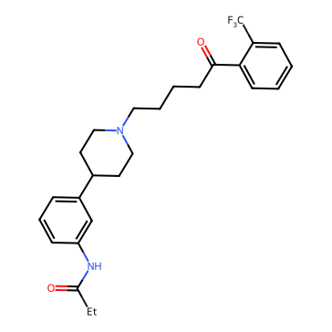 CCC(=O)Nc1cccc(C2CCN(CCCCC(=O)c3ccccc3C(F)(F)F)CC2)c1